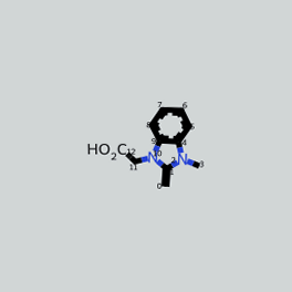 C=C1N(C)c2ccccc2N1CC(=O)O